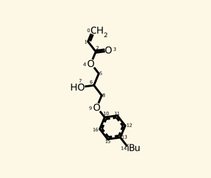 C=CC(=O)OCC(O)COc1ccc(C(C)CC)cc1